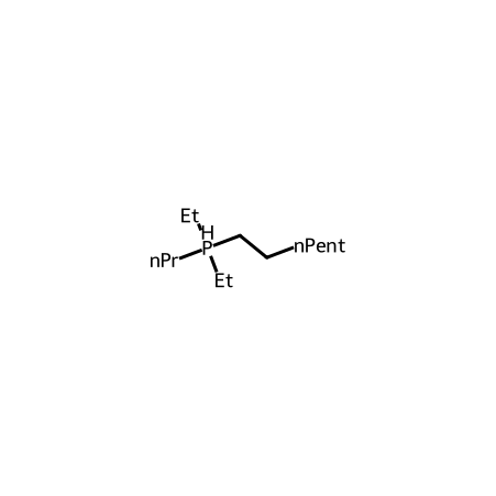 CCCCCCC[PH](CC)(CC)CCC